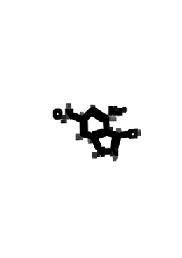 O=[N+]([O-])c1ccc2c(Cl)n[n-]c2c1.[Na+]